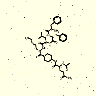 CC(=O)N[C@@H](CCC(N)=O)C(=O)NC1CCN(C(=O)[C@@H](CCCCN)NC(=O)[C@@H](CC(C)C)NC(=O)[C@@H](Cc2ccccc2)NC(=O)[C@H](N)Cc2ccccc2)CC1